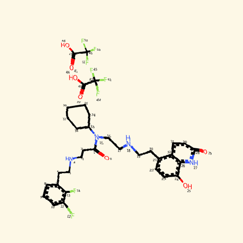 O=C(CCNCCc1cccc(F)c1F)N(CCNCCc1ccc(O)c2[nH]c(=O)ccc12)C1CCCCC1.O=C(O)C(F)(F)F.O=C(O)C(F)(F)F